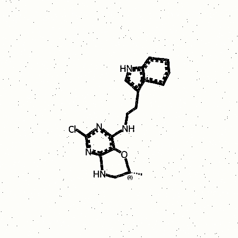 C[C@@H]1CNc2nc(Cl)nc(NCCc3c[nH]c4ccccc34)c2O1